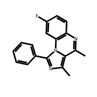 Cc1nc(-c2ccccc2)n2c1c(C)nc1ccc(F)cc12